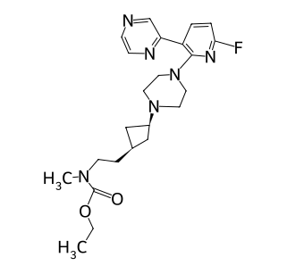 CCOC(=O)N(C)CC[C@H]1C[C@@H](N2CCN(c3nc(F)ccc3-c3cnccn3)CC2)C1